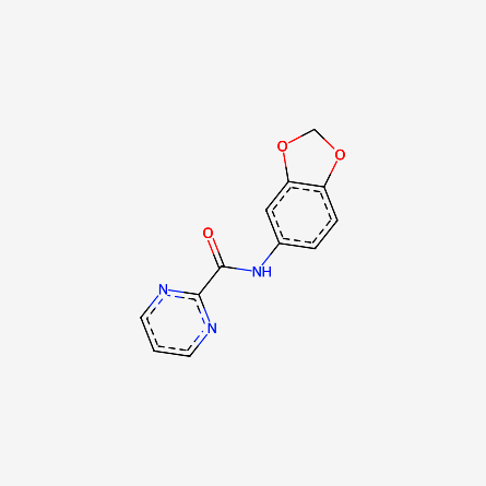 O=C(Nc1ccc2c(c1)OCO2)c1ncccn1